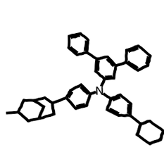 CC1CC2CC(C1)CC(c1ccc(N(c3ccc(C4CCCCC4)cc3)c3cc(-c4ccccc4)cc(-c4ccccc4)c3)cc1)C2